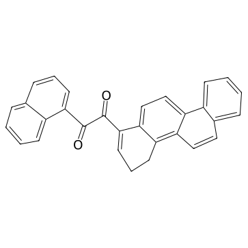 O=C(C(=O)c1cccc2ccccc12)C1=CCCc2c1ccc1c2ccc2ccccc21